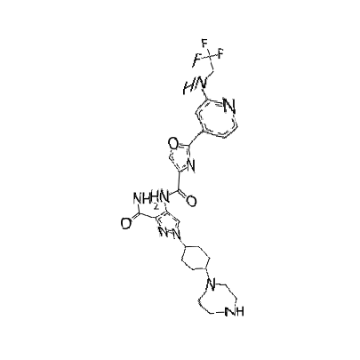 NC(=O)c1nn(C2CCC(N3CCNCC3)CC2)cc1NC(=O)c1coc(-c2ccnc(NCC(F)(F)F)c2)n1